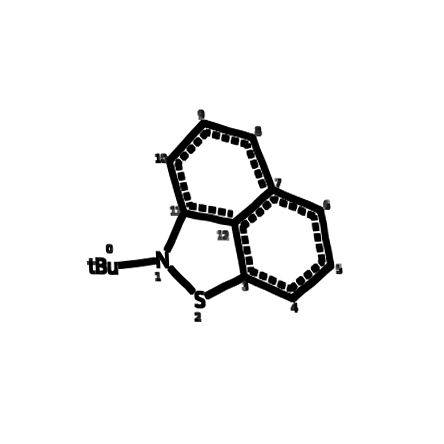 CC(C)(C)N1Sc2cccc3cccc1c23